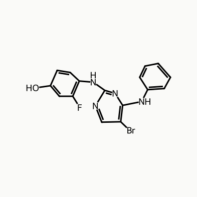 Oc1ccc(Nc2ncc(Br)c(Nc3ccccc3)n2)c(F)c1